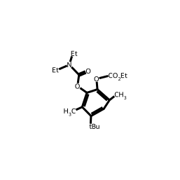 CCOC(=O)Oc1c(C)cc(C(C)(C)C)c(C)c1OC(=O)N(CC)CC